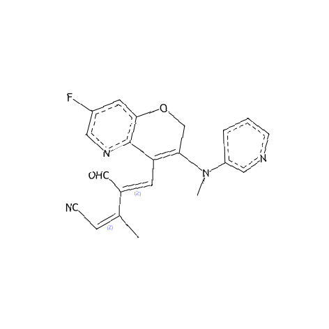 CC(=C/C#N)/C(C=O)=C/C1=C(N(C)c2cccnc2)COc2cc(F)cnc21